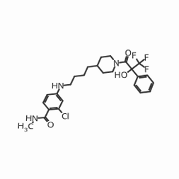 CNC(=O)c1ccc(NCCCCC2CCN(C(=O)C(O)(c3ccccc3)C(F)(F)F)CC2)cc1Cl